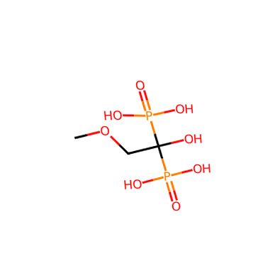 COCC(O)(P(=O)(O)O)P(=O)(O)O